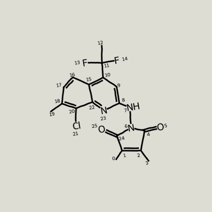 CC1=C(C)C(=O)N(Nc2cc(C(C)(F)F)c3ccc(C)c(Cl)c3n2)C1=O